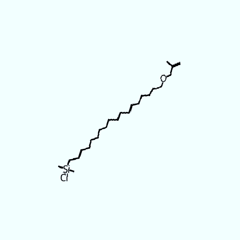 C=C(C)COCCCCCCCCCCCCCCCCCC[Si](C)(C)Cl